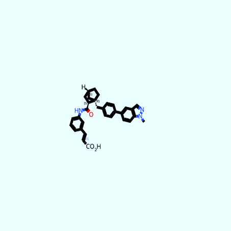 Cn1ncc2cc(-c3ccc(C[C@]45CC[C@@H](C[C@@H]4C(=O)Nc4cccc(/C=C/C(=O)O)c4)C5)cc3)ccc21